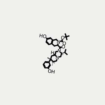 CC(C)[C@H]1CN2C[C@H](C)[C@](C)(c3cccc(O)c3)C[C@@H]2CN1C(=O)C1Cc2ccc(O)cc2CN1C(=O)OC(C)(C)C